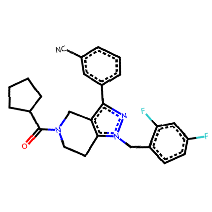 N#Cc1cccc(-c2nn(Cc3ccc(F)cc3F)c3c2CN(C(=O)C2CCCC2)CC3)c1